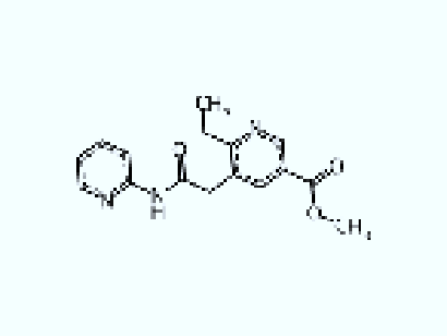 CCc1ncc(C(=O)OC)cc1CC(=O)Nc1ccccn1